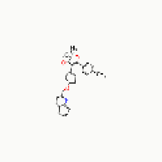 Cc1ccc(C2=C(c3ccc(OCc4ccc5ccccc5n4)cc3)C(=O)C(C)(C)O2)cc1